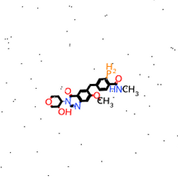 CNC(=O)c1ccc(Cc2cc3c(=O)n([C@H]4CCOC[C@@H]4O)cnc3cc2OC)cc1P